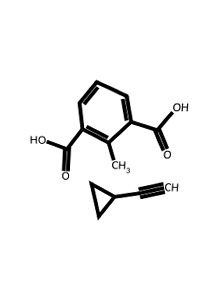 C#CC1CC1.Cc1c(C(=O)O)cccc1C(=O)O